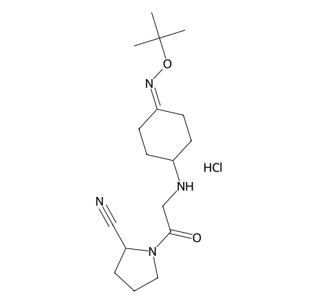 CC(C)(C)ON=C1CCC(NCC(=O)N2CCCC2C#N)CC1.Cl